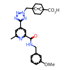 COc1cccc(CNC(=O)c2cc(-c3nnn(CC45CCC(C(=O)O)(CC4)CC5)n3)cc(C)n2)c1